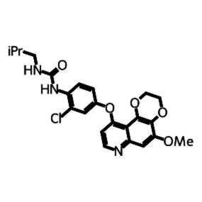 COc1cc2nccc(Oc3ccc(NC(=O)NCC(C)C)c(Cl)c3)c2c2c1OCCO2